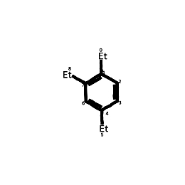 [CH2]Cc1ccc(CC)cc1CC